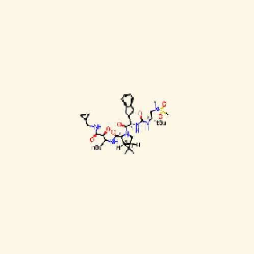 CCCCC(NC(=O)[C@@H]1[C@@H]2[C@H](CN1C(=O)[C@@H](NC(=O)N[C@H](CN(C)S(C)(=O)=O)C(C)(C)C)C1Cc3ccccc3C1)C2(C)C)C(=O)C(=O)NCC1CC1